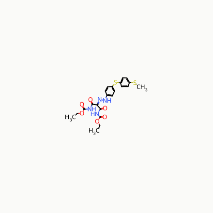 CCOC(=O)NC(=O)C(=NNc1ccc(Sc2ccc(SC)cc2)cc1)C(=O)NC(=O)OCC